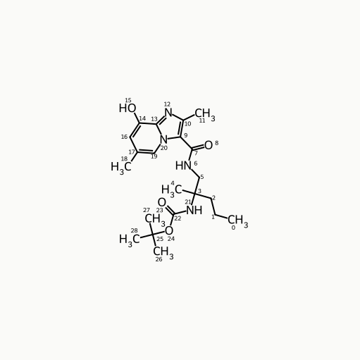 CCCC(C)(CNC(=O)c1c(C)nc2c(O)cc(C)cn12)NC(=O)OC(C)(C)C